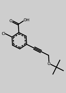 CC(C)(C)OCC#Cc1ccc(Cl)c(C(=O)O)c1